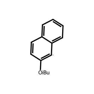 CC(C)COc1[c]c2ccccc2cc1